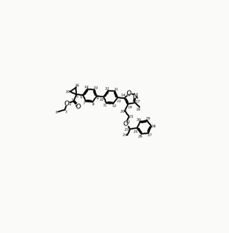 CCOC(=O)C1(c2ccc(-c3ccc(-c4onc(C)c4CCOC(C)c4ccccc4)cc3)cc2)CC1